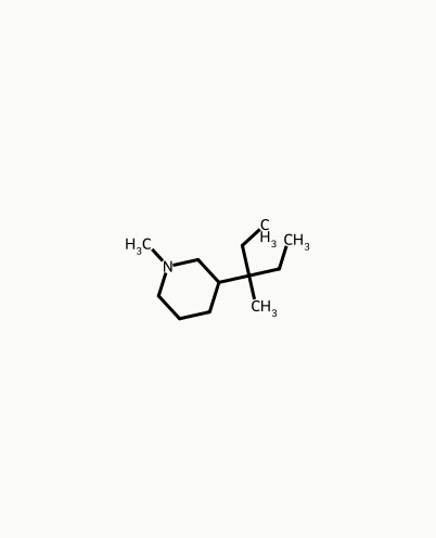 CCC(C)(CC)C1CCCN(C)C1